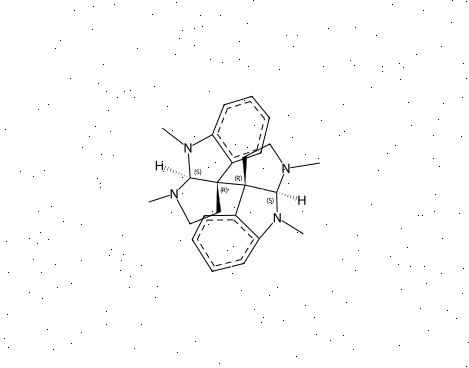 CN1CC[C@]2([C@]34CCN(C)[C@H]3N(C)c3ccccc34)c3ccccc3N(C)[C@H]12